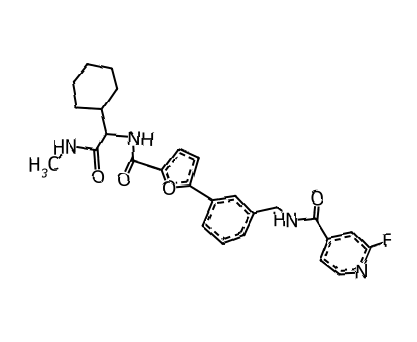 CNC(=O)C(NC(=O)c1ccc(-c2cccc(CNC(=O)c3ccnc(F)c3)c2)o1)C1CCCCC1